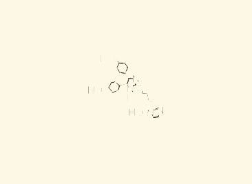 Cc1ccc(-c2nc(SCCCSc3nccn3C)[nH]c2-c2ccc(C)cc2)cc1